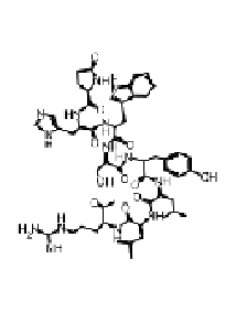 CC(=O)C(CCCNC(=N)N)NC(=O)C(CC(C)C)NC(=O)C(CC(C)C)NC(=O)C(Cc1ccc(O)cc1)NC(=O)C(CO)NC(=O)C(Cc1c[nH]c2ccccc12)NC(=O)C(Cc1cnc[nH]1)NC(=O)C1CCC(=O)N1